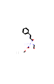 CCOC(=O)NN(C[C]=O)C(=O)/C=C/c1ccccc1